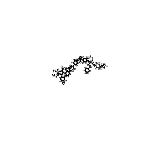 COC(=O)c1c(-c2c(F)ccc(N3CCN(c4ccc(NS(=O)(=O)c5ccc(N[C@H](CCN6CCC(C)(O)CC6)CSc6ccccc6)c(C)c5)cc4)CC3)c2F)c(-c2ccc(Cl)cc2)n(C)c1C